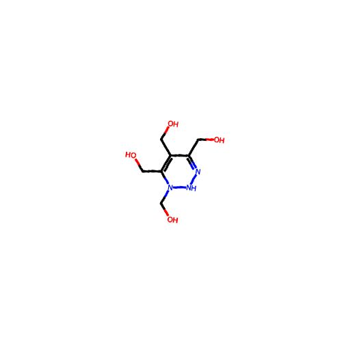 OCC1=NNN(CO)C(CO)=C1CO